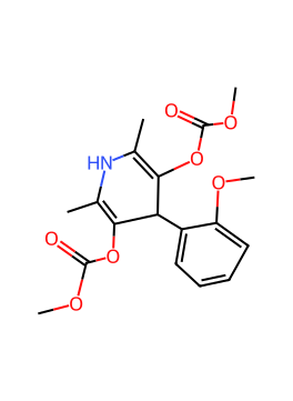 COC(=O)OC1=C(C)NC(C)=C(OC(=O)OC)C1c1ccccc1OC